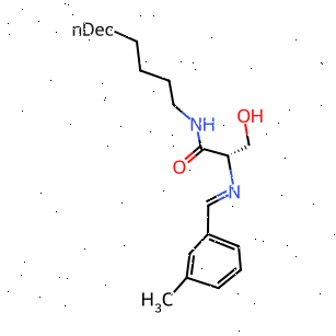 CCCCCCCCCCCCCCNC(=O)[C@H](CO)/N=C/c1cccc(C)c1